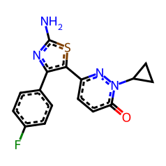 Nc1nc(-c2ccc(F)cc2)c(-c2ccc(=O)n(C3CC3)n2)s1